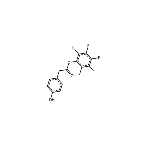 O=C(Cc1ccc(O)cc1)Oc1c(F)c(F)c(F)c(F)c1F